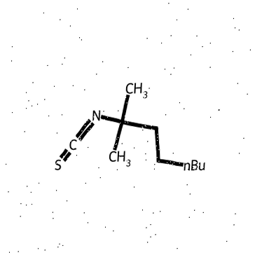 CCCCCCC(C)(C)N=C=S